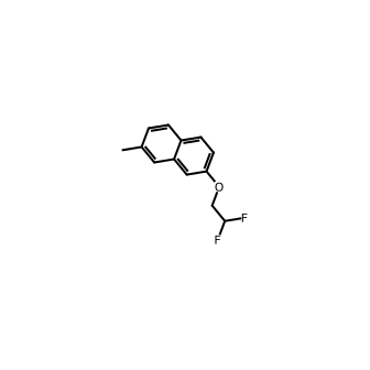 Cc1ccc2ccc(OCC(F)F)cc2c1